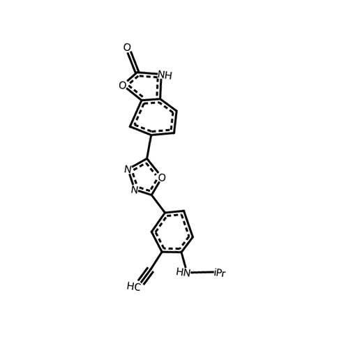 C#Cc1cc(-c2nnc(-c3ccc4[nH]c(=O)oc4c3)o2)ccc1NC(C)C